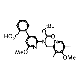 COc1cc(-c2ccccc2C(=O)O)cc(N(Cc2ncc(C)c(OC)c2C)C(=O)OC(C)(C)C)n1